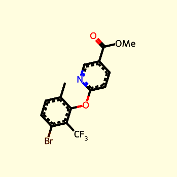 COC(=O)c1ccc(Oc2c(C)ccc(Br)c2C(F)(F)F)nc1